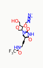 [N-]=[N+]=NCOC1C(CO)OCC1n1cc(C#CCNC(=O)C(F)(F)F)c(=O)[nH]c1=O